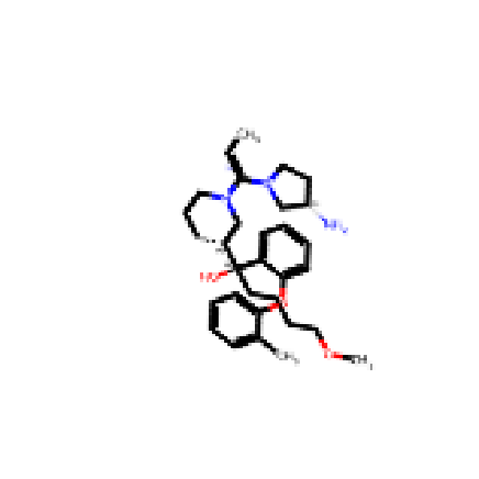 C/C=C(\N1CC[C@H](N)C1)N1CCC[C@@H]([C@@](O)(CCCCOC)c2ccccc2Oc2ccccc2C)C1